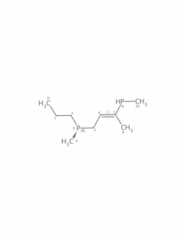 CCC[P@](C)C/C=C(\C)PC